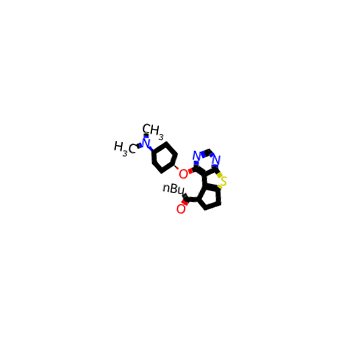 CCCCC(=O)C1CCc2sc3ncnc(O[C@H]4CC[C@H](N(C)C)CC4)c3c21